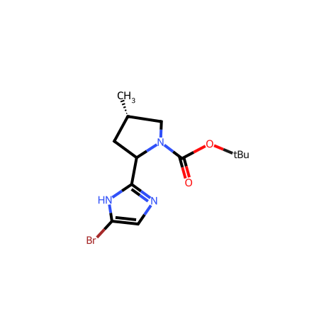 C[C@H]1CC(c2ncc(Br)[nH]2)N(C(=O)OC(C)(C)C)C1